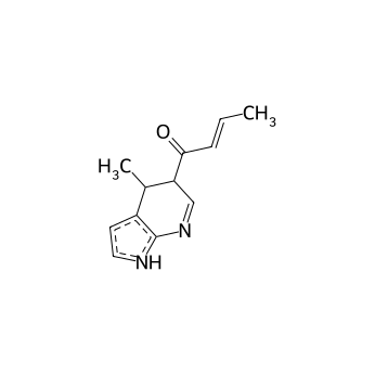 CC=CC(=O)C1C=Nc2[nH]ccc2C1C